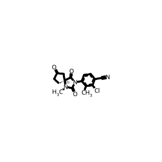 Cc1c(N2C(=O)N(C)[C@]3(CCC(=O)C3)C2=O)ccc(C#N)c1Cl